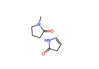 CN1CCCC1=O.O=C1CC=CN1